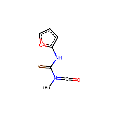 CC(C)(C)[N+](=C=O)C(=S)Nc1ccco1